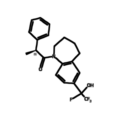 C[C@H](C(=O)N1CCCCc2cc(C(O)(F)C(F)(F)F)ccc21)c1ccccc1